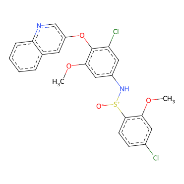 COc1cc(Cl)ccc1[S+]([O-])Nc1cc(Cl)c(Oc2cnc3ccccc3c2)c(OC)c1